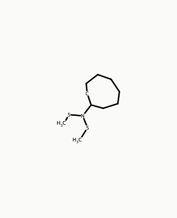 CSN(SC)C1CCCCCCC1